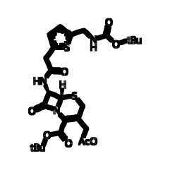 CC(=O)OCC1=C(C(=O)OC(C)(C)C)N2C(=O)[C@@H](NC(=O)Cc3ccc(CNC(=O)OC(C)(C)C)s3)[C@@H]2SC1